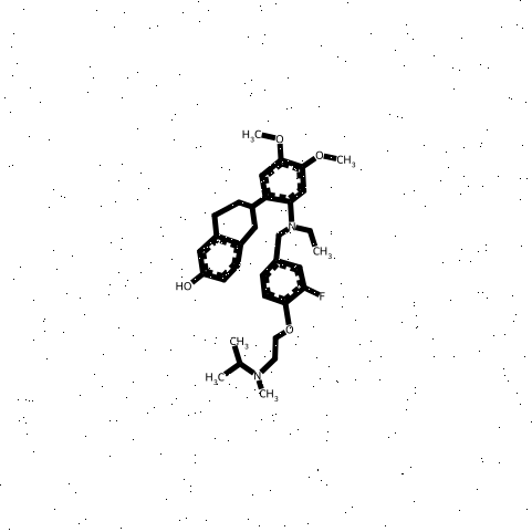 CCN(Cc1ccc(OCCN(C)C(C)C)c(F)c1)c1cc(OC)c(OC)cc1C1CCc2cc(O)ccc2C1